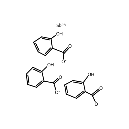 O=C([O-])c1ccccc1O.O=C([O-])c1ccccc1O.O=C([O-])c1ccccc1O.[Sb+3]